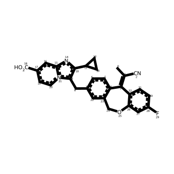 CC(C#N)=C1c2ccc(Cc3c(C4CC4)nc4cc(C(=O)O)ccn34)cc2COc2cc(F)ccc21